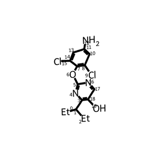 CCC(CC)c1nc(Oc2c(Cl)cc(N)cc2Cl)ncc1O